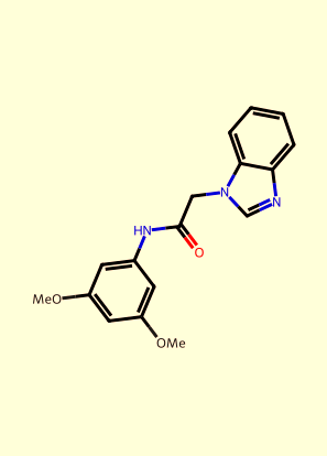 COc1cc(NC(=O)Cn2cnc3ccccc32)cc(OC)c1